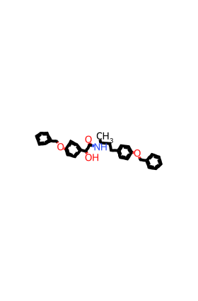 CC(CCc1ccc(OCc2ccccc2)cc1)NC(=O)C(O)c1ccc(OCc2ccccc2)cc1